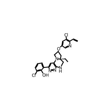 C=Cc1ncc(O[C@H]2CN3c4cc(-c5cccc(Cl)c5O)nnc4NC[C@@]3(CC)C2)cc1Cl